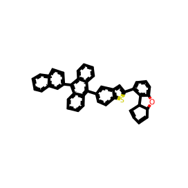 C1=CC2Oc3cccc(-c4cc5cc(-c6c7ccccc7c(-c7ccc8ccccc8c7)c7ccccc67)ccc5s4)c3C2C=C1